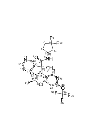 C[C@@](C(=O)N[C@@H]1CCC(F)(F)C1)(c1cncnc1)N(C(=O)[C@H](F)Cl)c1ccc(OC(F)(F)F)nc1